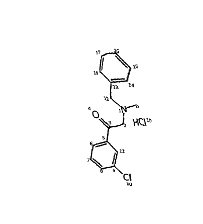 CN(CC(=O)c1cccc(Cl)c1)Cc1ccccc1.Cl